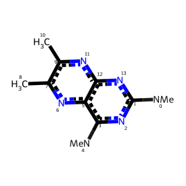 CNc1nc(NC)c2nc(C)c(C)nc2n1